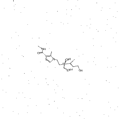 CNC(=O)c1ncn(CC[C@@](O)(CO)C(C)CCO)c1C